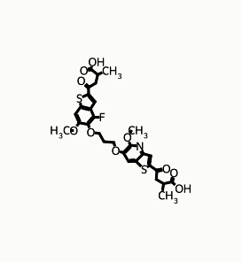 COc1cc2sc(C(=O)CC(C)C(=O)O)cc2c(F)c1OCCCOc1cc2sc(C(=O)CC(C)C(=O)O)cc2nc1OC